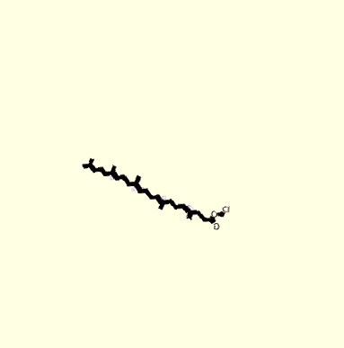 CC(C)=CCC/C(C)=C/CC/C(C)=C/CC/C=C(\C)CC/C=C(\C)CCC(=O)OCCl